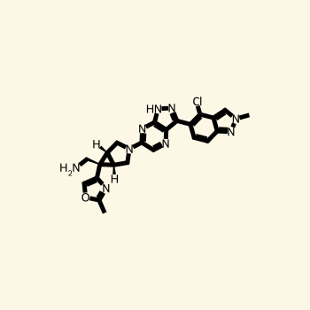 Cc1nc([C@]2(CN)[C@@H]3CN(c4cnc5c(-c6ccc7nn(C)cc7c6Cl)n[nH]c5n4)C[C@@H]32)co1